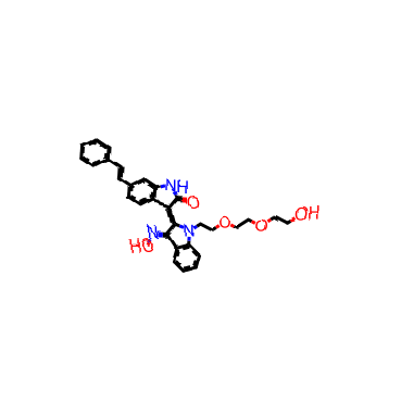 O=C1Nc2cc(/C=C/c3ccccc3)ccc2/C1=C1\C(=N\O)c2ccccc2N1CCOCCOCCO